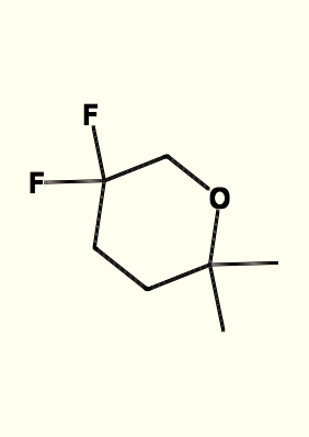 CC1(C)CCC(F)(F)CO1